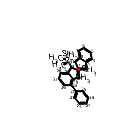 CC1=Cc2ccccc2[CH]1[Zr]([CH3])([CH3])(=[SiH2])[CH]1C(C)=Cc2c(-c3ccccc3)cccc21